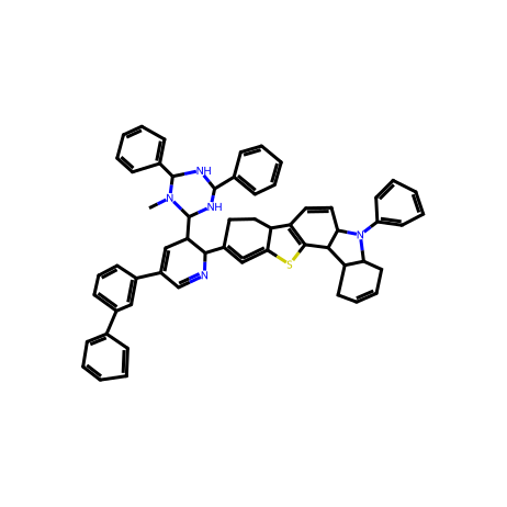 CN1C(c2ccccc2)NC(c2ccccc2)NC1C1C=C(c2cccc(-c3ccccc3)c2)C=NC1C1=C=C2SC3=C(C=CC4C3C3CC=CCC3N4c3ccccc3)C2CC1